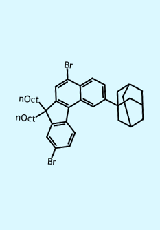 CCCCCCCCC1(CCCCCCCC)c2cc(Br)ccc2-c2c1cc(Br)c1ccc(C34CC5CC(CC(C5)C3)C4)cc21